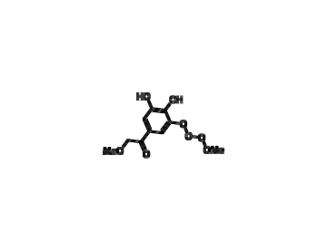 COCC(=O)c1cc(O)c(O)c(OOOOC)c1